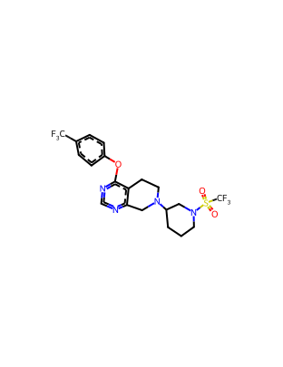 O=S(=O)(N1CCCC(N2CCc3c(ncnc3Oc3ccc(C(F)(F)F)cc3)C2)C1)C(F)(F)F